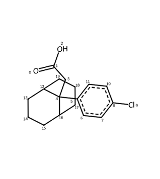 O=C(O)CC1(c2ccc(Cl)cc2)C2CCCC1CCC2